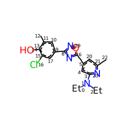 CCN(CC)c1cc(-c2nc(-c3cc(C)c(O)c(Cl)c3)no2)cc(C)n1